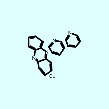 [Cu].c1ccc2nc3ccccc3nc2c1.c1ccncc1.c1ccncc1